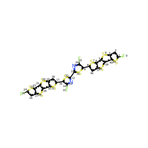 Fc1cc2sc3c4sc(-c5sc(-c6nc(F)c(-c7cc8sc9c%10sc(F)cc%10sc9c8s7)s6)nc5F)cc4sc3c2s1